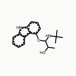 CC(O)C(NC(C)(C)C)Oc1cccc2[nH]c3ccccc3c12